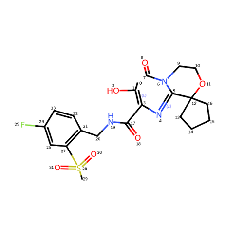 C/C(O)=C(\N=C1/N(C=O)CCOC12CCCC2)C(=O)NCc1ccc(F)cc1S(C)(=O)=O